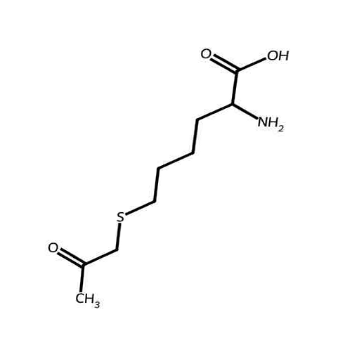 CC(=O)CSCCCCC(N)C(=O)O